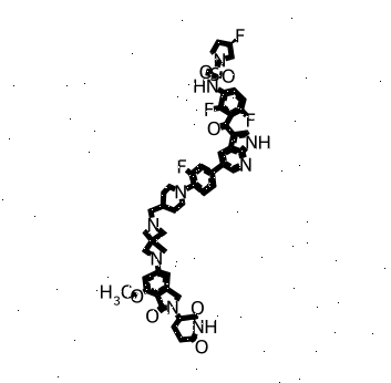 COc1cc(N2CC3(CN(CC4CCN(c5ccc(-c6cnc7[nH]cc(C(=O)c8c(F)ccc(NS(=O)(=O)N9CC[C@@H](F)C9)c8F)c7c6)cc5F)CC4)C3)C2)cc2c1C(=O)N(C1CCC(=O)NC1=O)C2